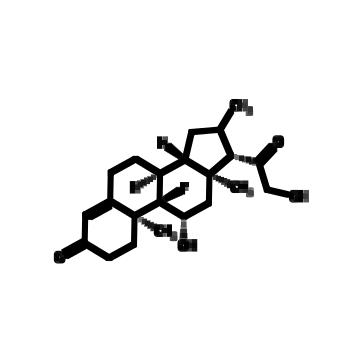 CC1C[C@H]2[C@@H]3CCC4=CC(=O)CC[C@]4(C)[C@@]3(F)[C@@H](O)C[C@]2(C)[C@H]1C(=O)CO